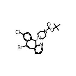 CC(C)(C)OC(=O)N1CCN([C@H]2c3ccc(Cl)cc3C(Br)=Cc3cccnc32)CC1